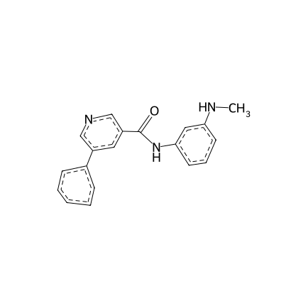 CNc1cccc(NC(=O)c2cncc(-c3ccccc3)c2)c1